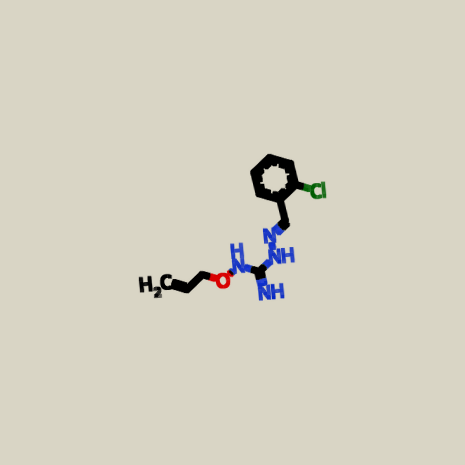 C=CCONC(=N)NN=Cc1ccccc1Cl